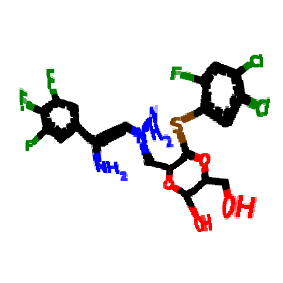 N/C(=C\N(N)CC1OC(O)C(CO)OC1Sc1cc(Cl)c(Cl)cc1F)c1cc(F)c(F)c(F)c1